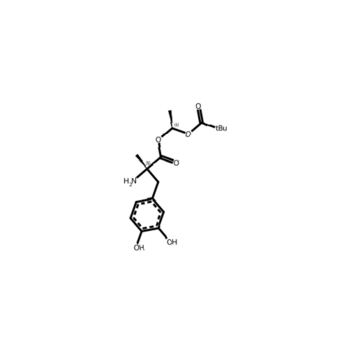 C[C@@H](OC(=O)C(C)(C)C)OC(=O)[C@@](C)(N)Cc1ccc(O)c(O)c1